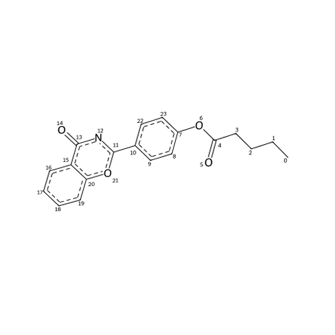 CCCCC(=O)Oc1ccc(-c2nc(=O)c3ccccc3o2)cc1